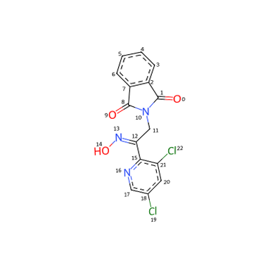 O=C1c2ccccc2C(=O)N1CC(=NO)c1ncc(Cl)cc1Cl